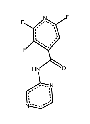 O=C(Nc1cnccn1)c1cc(F)nc(F)c1F